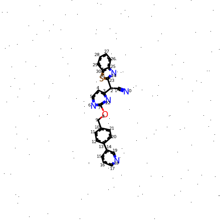 N#CC(c1ccnc(OCc2ccc(-c3cccnc3)cc2)n1)c1nc2ccccc2s1